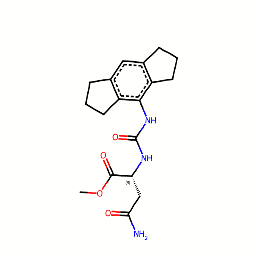 COC(=O)[C@@H](CC(N)=O)NC(=O)Nc1c2c(cc3c1CCC3)CCC2